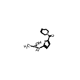 CB(O)Nc1ccc(C(=O)N2CCCCC2)s1